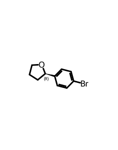 Brc1ccc([C@H]2CCCO2)cc1